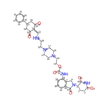 O=C1CCC(N2Cc3c(NC(=O)OCCN4CCN(CCNC=C5C(=O)CC(c6ccccc6)CC5=O)CC4)cccc3C2=O)C(=O)N1